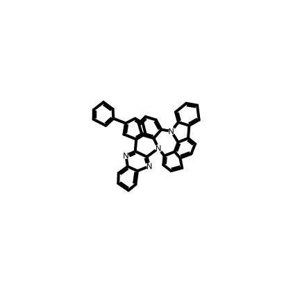 c1ccc(-c2cccc(-c3nc4ccccc4nc3-n3c4cccc5ccc6c7ccccc7n(c7ccccc73)c6c54)c2)cc1